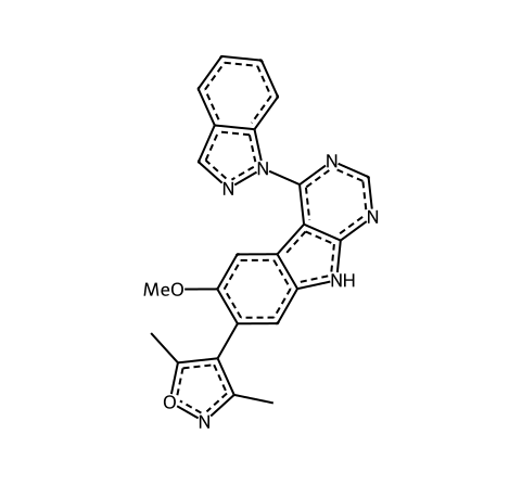 COc1cc2c(cc1-c1c(C)noc1C)[nH]c1ncnc(-n3ncc4ccccc43)c12